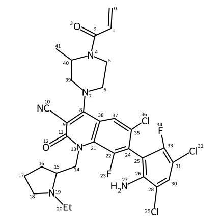 C=CC(=O)N1CCN(c2c(C#N)c(=O)n(CC3CCCN3CC)c3c(F)c(-c4c(N)c(Cl)cc(Cl)c4F)c(Cl)cc23)CC1C